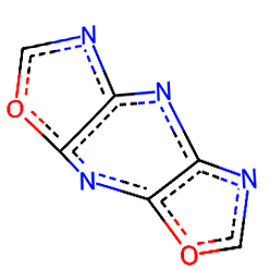 c1nc2nc3ncoc3nc2o1